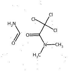 CN(C)C(=O)C(Cl)(Cl)Cl.NC=O